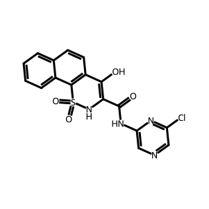 O=C(Nc1cncc(Cl)n1)C1=C(O)c2ccc3ccccc3c2S(=O)(=O)N1